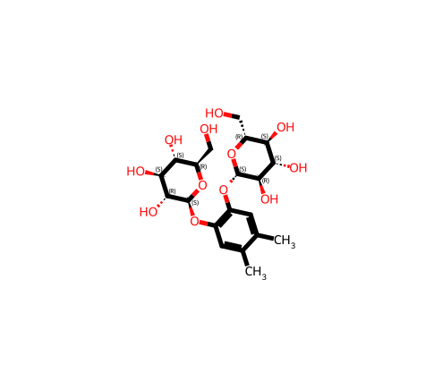 Cc1cc(O[C@@H]2O[C@H](CO)[C@@H](O)[C@H](O)[C@H]2O)c(O[C@@H]2O[C@H](CO)[C@@H](O)[C@H](O)[C@H]2O)cc1C